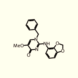 COc1cn(Cc2ccccc2)c(Nc2cccc3c2OCO3)nc1=O